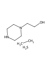 CC.OCCN1CCNCC1.S